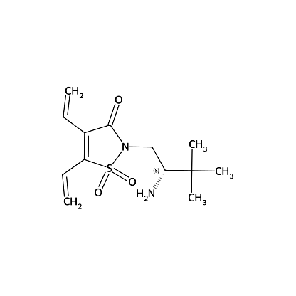 C=CC1=C(C=C)S(=O)(=O)N(C[C@@H](N)C(C)(C)C)C1=O